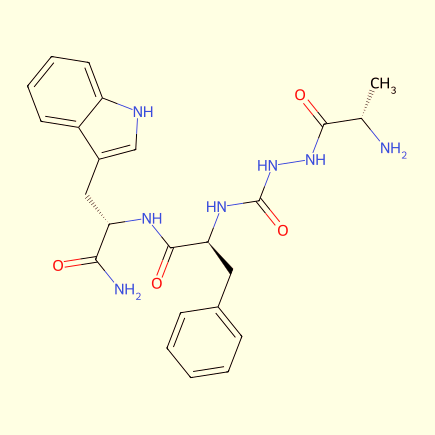 C[C@H](N)C(=O)NNC(=O)N[C@@H](Cc1ccccc1)C(=O)N[C@@H](Cc1c[nH]c2ccccc12)C(N)=O